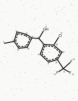 Cc1ccc(C(O)c2ccc(C(F)(F)F)cc2Cl)cc1